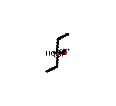 CCCCCCCC/C=C\CCCCCCCCC(CCCCCCCC/C=C\CCCCCCCC)(OP(=O)([O-])OC(CC)C[N+](C)(C)C)[C@@H](O)CO